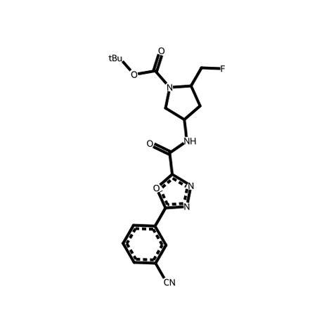 CC(C)(C)OC(=O)N1CC(NC(=O)c2nnc(-c3cccc(C#N)c3)o2)CC1CF